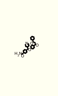 NC(=O)c1ccc([C@@H](Oc2ccc3c(c2)OC(c2ccccc2)CC3=O)c2ccncc2)cc1